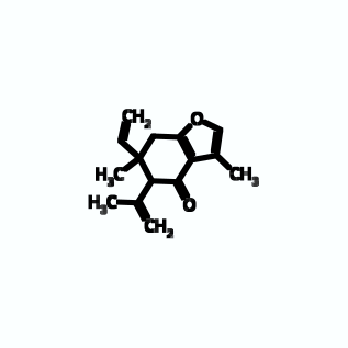 C=CC1(C)Cc2occ(C)c2C(=O)C1C(=C)C